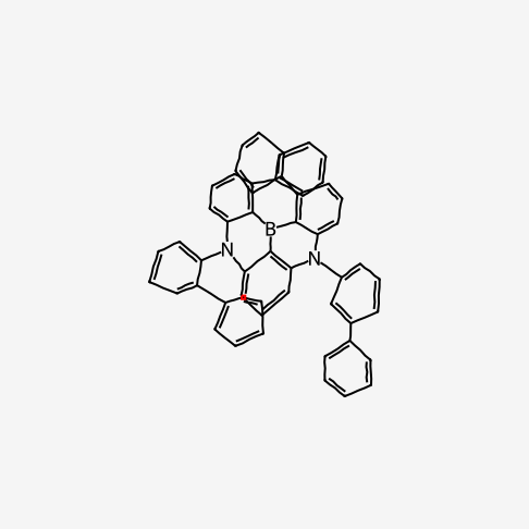 c1ccc(-c2cccc(N3c4cccc(-c5ccccc5)c4B4c5c(-c6ccccc6)cccc5N(c5ccccc5-c5ccccc5)c5cccc3c54)c2)cc1